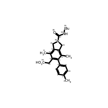 Cc1ccc(-c2c(C)c3c(c(C)c2CC(=O)O)CN(C(=O)NC(C)(C)C)C3)cc1